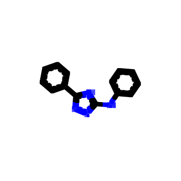 c1ccc(Nc2nnc(-c3ccccc3)[nH]2)cc1